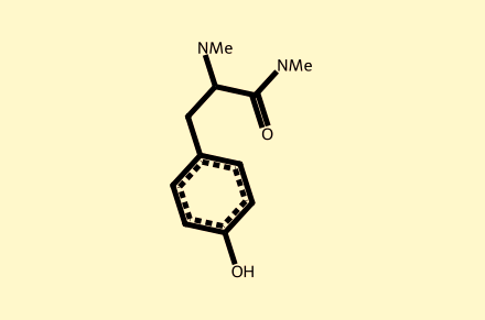 CNC(=O)C(Cc1ccc(O)cc1)NC